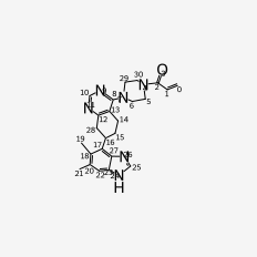 C=CC(=O)N1CCN(c2ncnc3c2CCC(c2c(C)c(C)cc4[nH]cnc24)C3)CC1